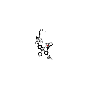 CCC#CCC1(S(=O)(=O)NC(=O)c2ccc3c(C4CCCCC4)c4n(c3c2)CC2(C(=O)N3C5CCC3CN(C)C5)CC2c2cc(OC)ccc2-4)CC1